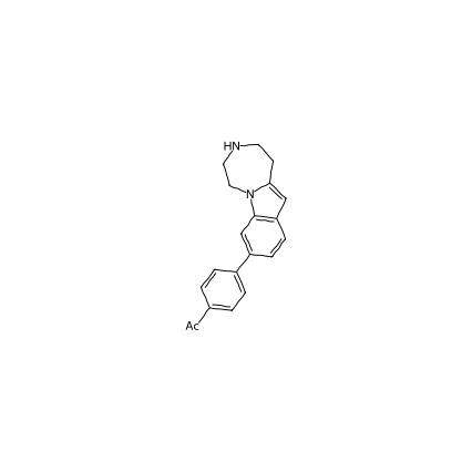 CC(=O)c1ccc(-c2ccc3cc4n(c3c2)CCNCC4)cc1